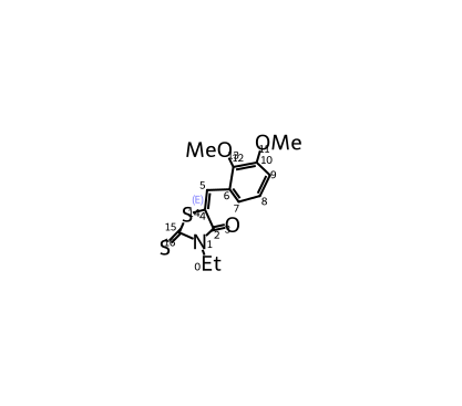 CCN1C(=O)/C(=C\c2cccc(OC)c2OC)SC1=S